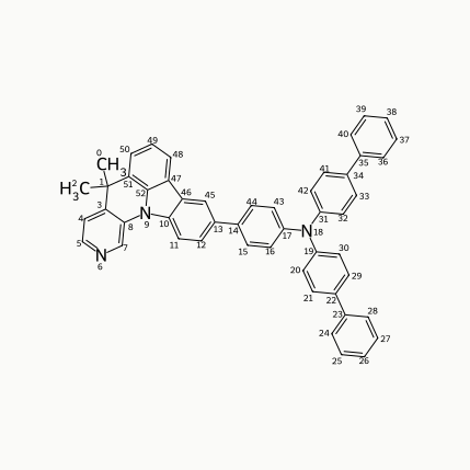 CC1(C)c2ccncc2-n2c3ccc(-c4ccc(N(c5ccc(-c6ccccc6)cc5)c5ccc(-c6ccccc6)cc5)cc4)cc3c3cccc1c32